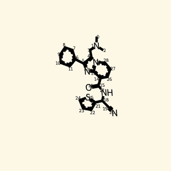 CN(C)Cc1c(-c2ccccc2)nc2c(C(=O)NC(C#N)c3cccs3)cccn12